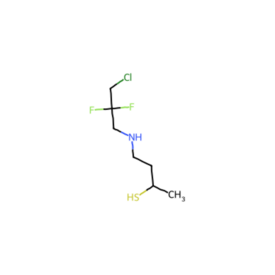 CC(S)CCNCC(F)(F)CCl